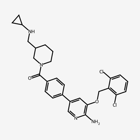 Nc1ncc(-c2ccc(C(=O)N3CCCC(CNC4CC4)C3)cc2)cc1OCc1c(Cl)cccc1Cl